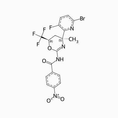 C[C@@]1(c2nc(Br)ccc2F)C[C@H](C(F)(F)F)OC(NC(=O)c2ccc([N+](=O)[O-])cc2)=N1